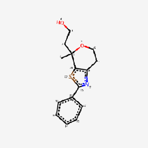 CC1(CCO)OCCc2nc(-c3ccccc3)sc21